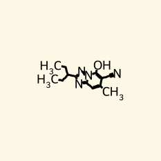 CCC(CC)c1nc2cc(C)c(C#N)c(O)n2n1